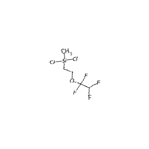 C[Si](Cl)(Cl)CCOC(F)(F)C(F)F